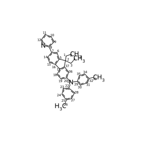 CCC1(CC)c2cc(-c3ccccn3)ccc2-c2ccc(N(c3ccc(C)cc3)c3ccc(C)cc3)cc21